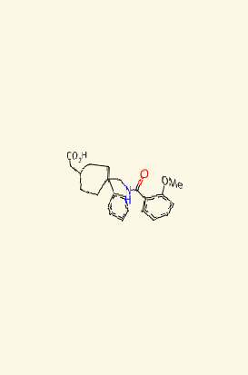 COc1ccccc1C(=O)NCC1(c2ccccc2)CCC(CC(=O)O)CC1